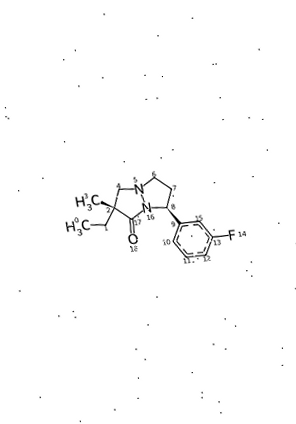 CC[C@]1(C)CN2CC[C@@H](c3cccc(F)c3)N2C1=O